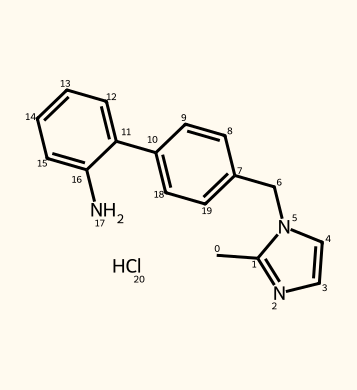 Cc1nccn1Cc1ccc(-c2ccccc2N)cc1.Cl